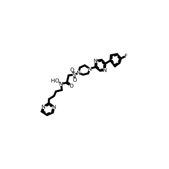 O=C(CS(=O)(=O)N1CCN(c2cnc(-c3ccc(F)cc3)cn2)CC1)N(O)CCCCc1ncccn1